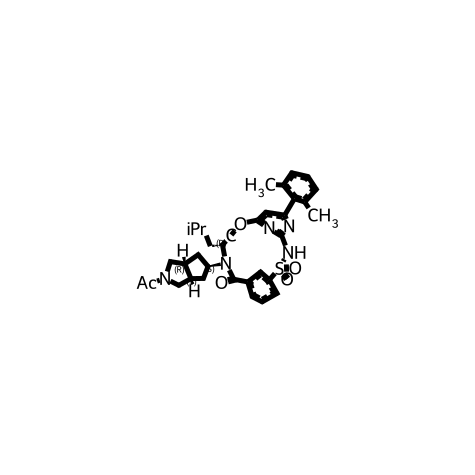 CC(=O)N1C[C@H]2C[C@H](N3C(=O)c4cccc(c4)S(=O)(=O)Nc4nc(cc(-c5c(C)cccc5C)n4)OC[C@H]3CC(C)C)C[C@H]2C1